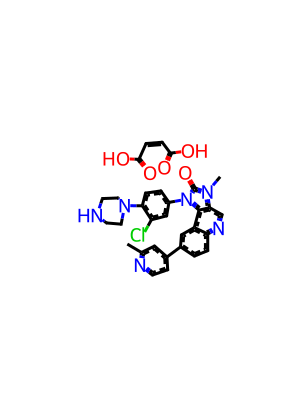 Cc1cc(-c2ccc3ncc4c(c3c2)n(-c2ccc(N3CCNCC3)c(Cl)c2)c(=O)n4C)ccn1.O=C(O)/C=C\C(=O)O